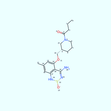 CCCC(=O)N1CCC[C@H](COc2cc(C)cc3c2C(N)=N[S+]([O-])N3)C1